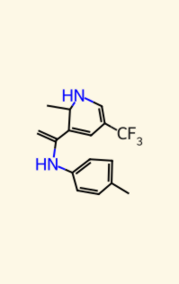 C=C(Nc1ccc(C)cc1)C1=CC(C(F)(F)F)=CNC1C